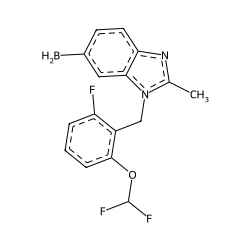 Bc1ccc2nc(C)n(Cc3c(F)cccc3OC(F)F)c2c1